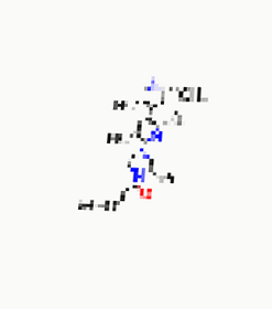 C=Cc1cc(-c2cc(C#N)c(N3CCN(C(=O)CCOC)C(C(C)C)C3)nc2C2CC2)c(C#N)cn1